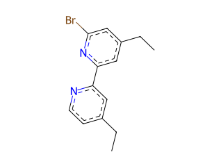 CCc1ccnc(-c2cc(CC)cc(Br)n2)c1